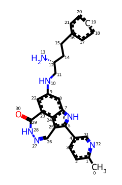 Cc1ccc(-c2[nH]c3cc(NC[C@H](N)CCc4ccccc4)cc4c3c2C=NNC4=O)cn1